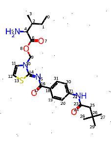 CC[C@H](C)[C@H](N)C(=O)OCn1ccsc1=NC(=O)c1ccc(NC(=O)CC(C)(C)C)cc1